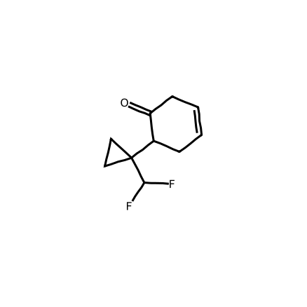 O=C1CC=CCC1C1(C(F)F)CC1